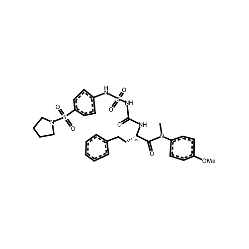 COc1ccc(N(C)C(=O)[C@H](CCc2ccccc2)NC(=O)NS(=O)(=O)Nc2ccc(S(=O)(=O)N3CCCC3)cc2)cc1